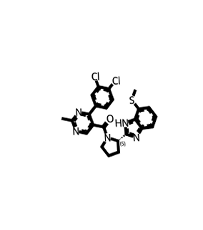 CSc1cccc2nc([C@@H]3CCCN3C(=O)c3cnc(C)nc3-c3ccc(Cl)c(Cl)c3)[nH]c12